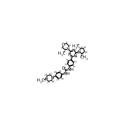 C[C@@H]1COCCN1c1nc(-c2ccc(NC(=O)Nc3ccc(N4CCN(C)CC4)cc3)cc2)nc(N2[C@H](C)CC[C@@H]2C)n1